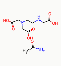 CC(N)=O.O=C(O)CNCCN(CC(=O)O)CC(=O)O